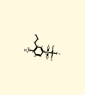 CCCc1cc(S(=O)(=O)C(F)(F)F)ccc1N